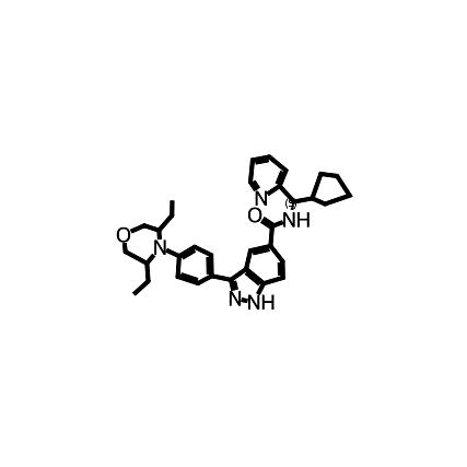 CCC1COCC(CC)N1c1ccc(-c2n[nH]c3ccc(C(=O)N[C@H](c4ccccn4)C4CCCC4)cc23)cc1